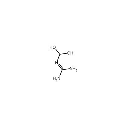 NC(N)=NC(O)O